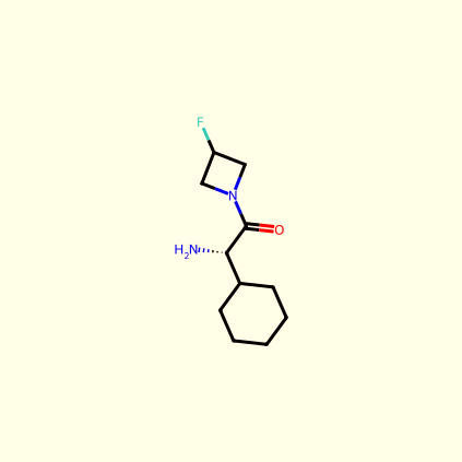 N[C@H](C(=O)N1CC(F)C1)C1CCCCC1